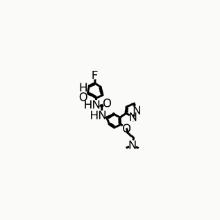 CN(C)CCOc1ccc(NC(=O)Nc2ccc(F)cc2O)cc1-c1ccnn1C